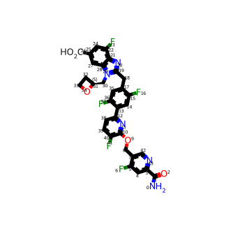 NC(=O)c1cc(F)c(COc2nc(-c3cc(F)c(Cc4nc5c(F)cc(C(=O)O)cc5n4C[C@@H]4CCO4)cc3F)ccc2F)cn1